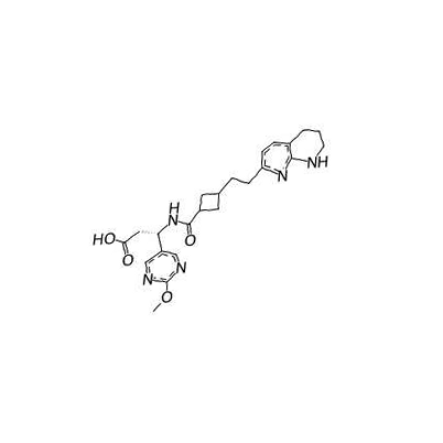 COc1ncc([C@H](CC(=O)O)NC(=O)C2CC(CCc3ccc4c(n3)NCCC4)C2)cn1